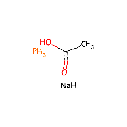 CC(=O)O.P.[NaH]